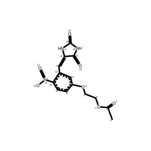 CC(=O)OCCOc1ccc([N+](=O)[O-])c(C=C2NC(=O)NC2=O)c1